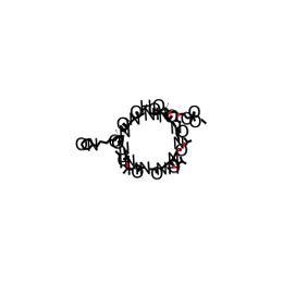 CCOC(=O)OCCCC[C@@H](C)[C@@H](O)[C@H]1C(=O)N[C@@H](CC)C(=O)N(C)[C@H](C)C(=O)N(C)[C@@H]([C@@H](C)OCCCCN2CCOCC2)C(=O)N[C@@H](C(C)C)C(=O)N(C)[C@@H](CC(C)C)C(=O)N[C@@H](C)C(=O)N[C@H](C)C(=O)N(C)[C@@H](CC(C)C)C(=O)N(C)[C@@H](CC(C)C)C(=O)N(C)[C@@H](C(C)C)C(=O)N1C